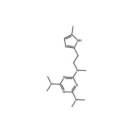 Cc1ccc(CCN(C)c2nc(N(C)C)nc(N(C)C)n2)[nH]1